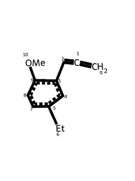 C=C=Cc1cc(CC)ccc1OC